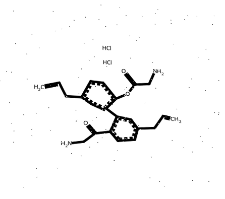 C=CCc1ccc(OC(=O)CN)c(-c2cc(CC=C)ccc2C(=O)CN)c1.Cl.Cl